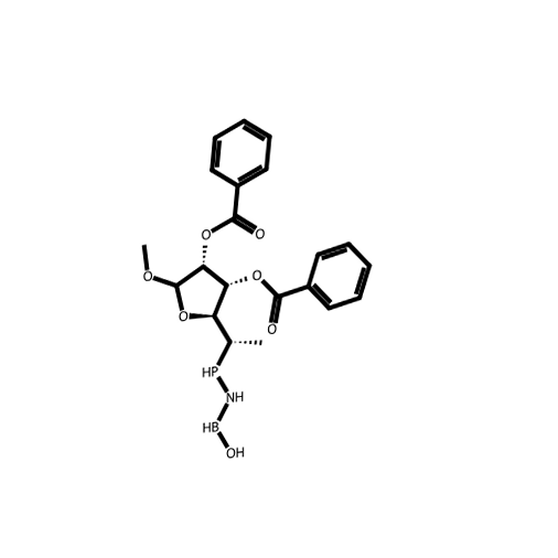 COC1O[C@H]([C@H](C)PNBO)[C@@H](OC(=O)c2ccccc2)[C@H]1OC(=O)c1ccccc1